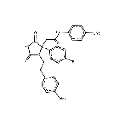 COc1ccc(CCN2C(=S)NC(=O)C2(CC(=O)Nc2ccc(OC)cc2)c2ccc(F)cc2)cc1